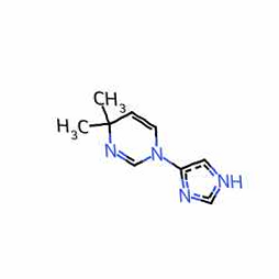 CC1(C)C=CN(c2c[nH]cn2)C=N1